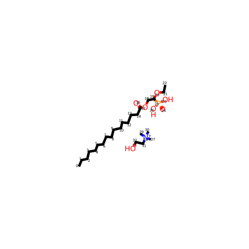 CCCCCCCCCCCCCCCC(=O)OCC(OCC)P(=O)(O)O.C[N+](C)(C)CCO